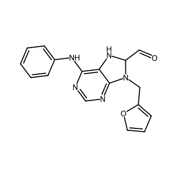 O=CC1Nc2c(Nc3ccccc3)ncnc2N1Cc1ccco1